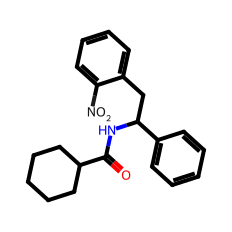 O=C(NC(Cc1ccccc1[N+](=O)[O-])c1ccccc1)C1CCCCC1